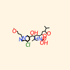 COCCCc1ncc2c(Cl)cc(C(O)C(CC(NC(=O)O)C3CC(C(C)C)C(=O)O3)C(C)C)cn12